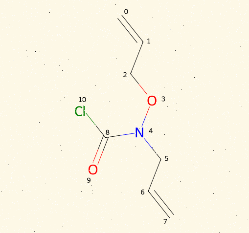 C=CCON(CC=C)C(=O)Cl